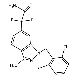 Cc1nn(Cc2c(F)cccc2Cl)c2cc(C(F)(F)C(N)=O)ccc12